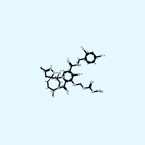 CCCCOC(=O)OCOc1c2n(cc(C(=O)NCc3ccc(F)cc3F)c1=O)[C@@H]1CN(C2=O)[C@@H](C)CC[C@]12CC(C)=NO2